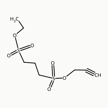 C#CCOS(=O)(=O)CCCS(=O)(=O)OCC